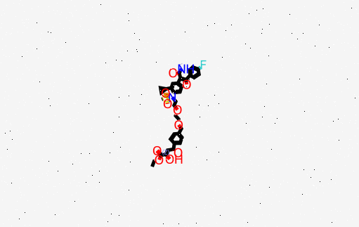 CCOC(=O)/C(O)=C/C(=O)c1ccc(COCCOCCN(c2cc3oc(-c4ccc(F)cc4)c(C(=O)NC)c3cc2C2CC2)S(C)(=O)=O)cc1